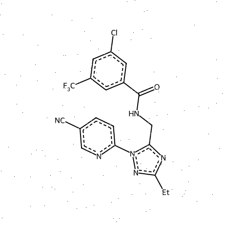 CCc1nc(CNC(=O)c2cc(Cl)cc(C(F)(F)F)c2)n(-c2ccc(C#N)cn2)n1